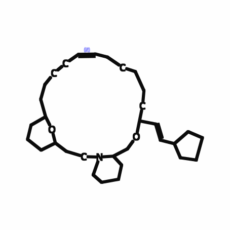 C(=CC1CCCCC/C=C\CCCCC2CCCC(CCN3CCCCC3CO1)O2)C1CCCC1